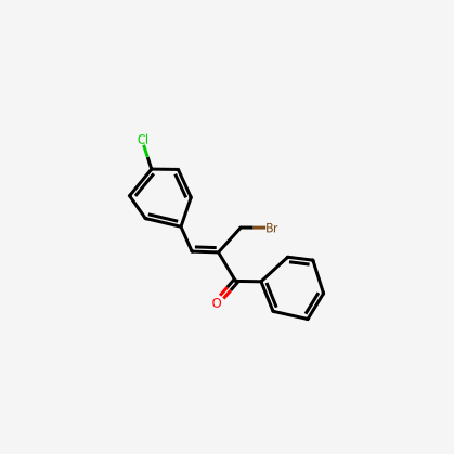 O=C(/C(=C/c1ccc(Cl)cc1)CBr)c1ccccc1